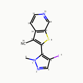 Cn1ncc(I)c1-c1sc2cnccc2c1C#N